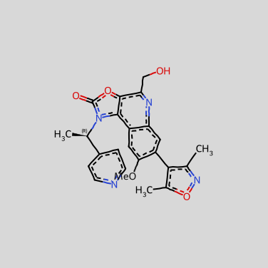 COc1cc2c(cc1-c1c(C)noc1C)nc(CO)c1oc(=O)n([C@H](C)c3ccncc3)c12